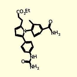 CCOC(=O)CCc1ccc(-c2ccc(NC(N)=O)cc2)n1-c1ccc(C(N)=O)cc1C